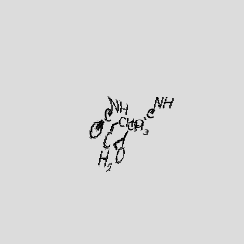 C=CC.CC1CO1.N=C=O.N=C=O